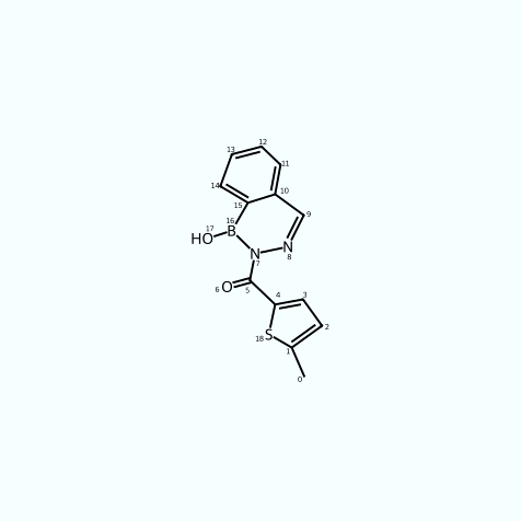 Cc1ccc(C(=O)N2N=Cc3ccccc3B2O)s1